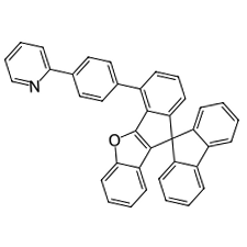 c1ccc(-c2ccc(-c3cccc4c3-c3oc5ccccc5c3C43c4ccccc4-c4ccccc43)cc2)nc1